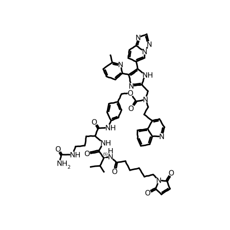 Cc1cccc(-c2nc(CN(CCc3ccnc4ccccc34)C(=O)OCc3ccc(NC(=O)C(CCCNC(N)=O)NC(=O)[C@@H](NC(=O)CCCCCN4C(=O)C=CC4=O)C(C)C)cc3)[nH]c2-c2ccc3ncnn3c2)n1